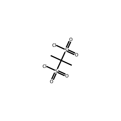 CC(C)(S(=O)(=O)Cl)S(=O)(=O)Cl